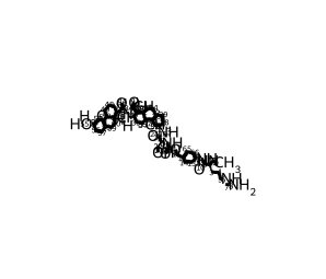 CN[C@@H](CCCNCN)C(=O)Nc1ccc(COC(=O)N[C@@H](CO)C(=O)Nc2ccc3c(c2)[C@@]2(C)CCC[C@](C)(C(=O)NC(=O)[C@@]4(C)CCC[C@]5(C)c6cc(O)ccc6CC[C@@H]45)[C@@H]2CC3)cc1